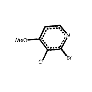 COc1ccnc(Br)c1Cl